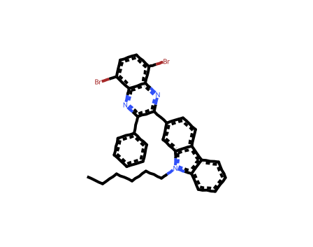 CCCCCCn1c2ccccc2c2ccc(-c3nc4c(Br)ccc(Br)c4nc3-c3ccccc3)cc21